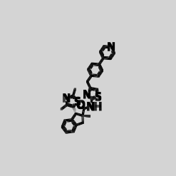 Cc1nc(C)c([C@H]2c3ccccc3C[C@@]2(C)C(=O)Nc2nc(Cc3ccc(-c4ccncc4)cc3)cs2)s1